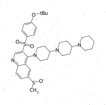 C[S+]([O-])c1ccc2ncc(S(=O)(=O)c3ccc(OC(C)(C)C)cc3)c(N3CCC(N4CCC(N5CCCCC5)CC4)CC3)c2c1